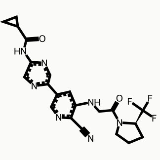 N#Cc1ncc(-c2cnc(NC(=O)C3CC3)cn2)cc1NCC(=O)N1CCC[C@@H]1C(F)(F)F